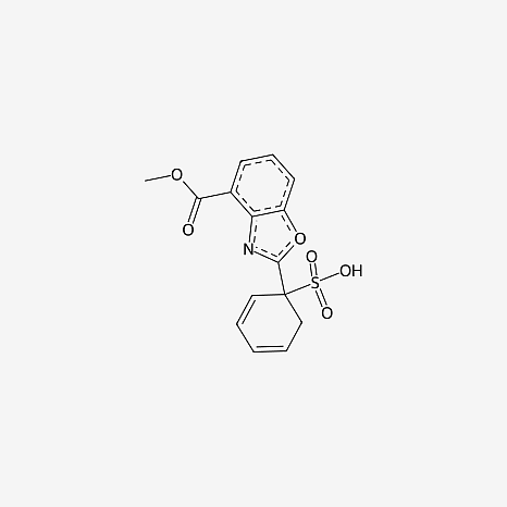 COC(=O)c1cccc2oc(C3(S(=O)(=O)O)C=CC=CC3)nc12